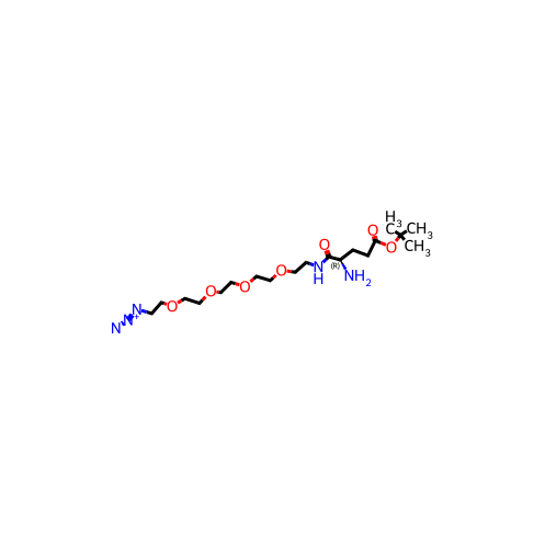 CC(C)(C)OC(=O)CC[C@@H](N)C(=O)NCCOCCOCCOCCOCCN=[N+]=[N-]